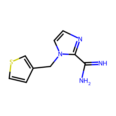 N=C(N)c1nccn1Cc1ccsc1